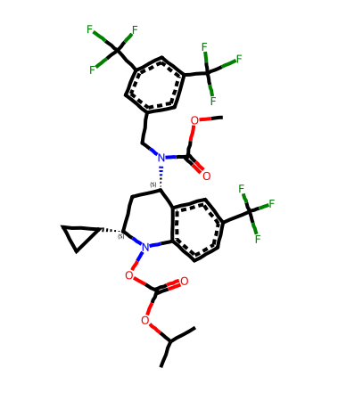 COC(=O)N(Cc1cc(C(F)(F)F)cc(C(F)(F)F)c1)[C@H]1C[C@@H](C2CC2)N(OC(=O)OC(C)C)c2ccc(C(F)(F)F)cc21